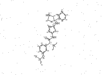 CN(C)[C@@H](C(=O)Nc1nnc(N[C@]2(c3cccnn3)CCNC2)s1)c1cccc(OC(F)F)c1